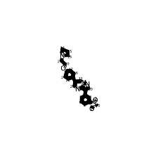 CS(=O)(=O)c1cccc(-c2cnn3cc(-c4ccc(OCCN5CCCC5)cc4)cnc23)c1